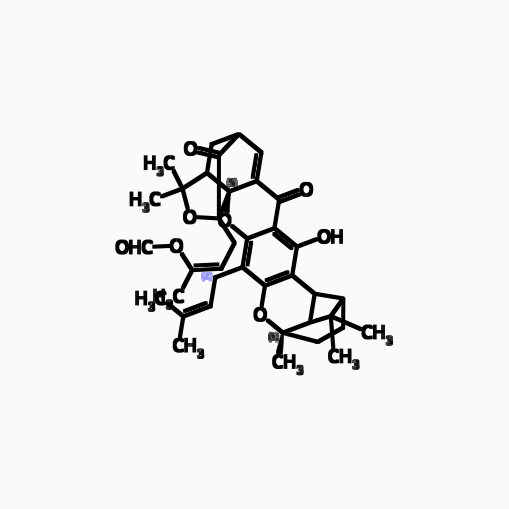 CC(C)=CCc1c2c(c(O)c3c1O[C@@]1(C)CCC4C3C1C4(C)C)C(=O)C1=CC3CC4C(C)(C)OC(C/C=C(/C)OC=O)(C3=O)[C@@]14O2